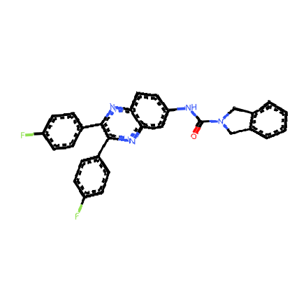 O=C(Nc1ccc2nc(-c3ccc(F)cc3)c(-c3ccc(F)cc3)nc2c1)N1Cc2ccccc2C1